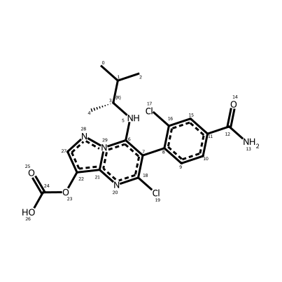 CC(C)[C@@H](C)Nc1c(-c2ccc(C(N)=O)cc2Cl)c(Cl)nc2c(OC(=O)O)cnn12